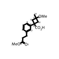 COC(=O)CCc1cccc(C2(C(=O)O)CC(C)(OC)C2)c1